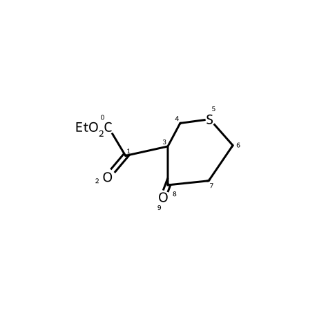 CCOC(=O)C(=O)C1CSCCC1=O